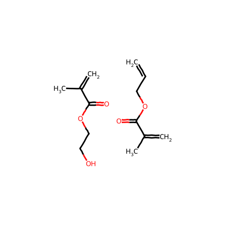 C=C(C)C(=O)OCCO.C=CCOC(=O)C(=C)C